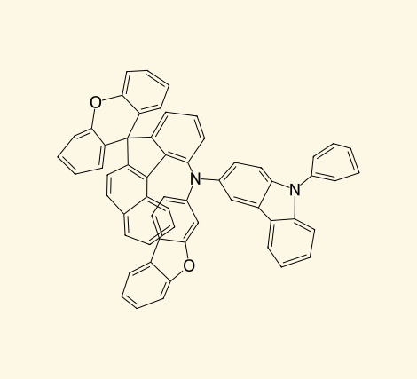 c1ccc(-n2c3ccccc3c3cc(N(c4ccc5c(c4)oc4ccccc45)c4cccc5c4-c4c(ccc6ccccc46)C54c5ccccc5Oc5ccccc54)ccc32)cc1